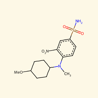 COC1CCC(N(C)c2ccc(S(N)(=O)=O)cc2[N+](=O)[O-])CC1